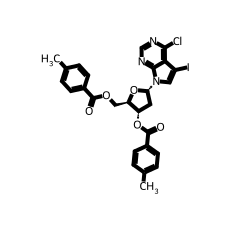 Cc1ccc(C(=O)OC[C@H]2O[C@H](n3cc(I)c4c(Cl)ncnc43)C[C@@H]2OC(=O)c2ccc(C)cc2)cc1